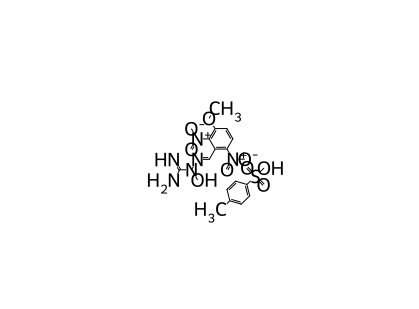 COc1ccc([N+](=O)[O-])c(/C=N/N(O)C(=N)N)c1[N+](=O)[O-].Cc1ccc(S(=O)(=O)O)cc1